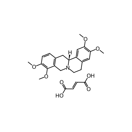 COc1cc2c(cc1OC)[C@H]1Cc3ccc(OC)c(OC)c3CN1CC2.O=C(O)C=CC(=O)O